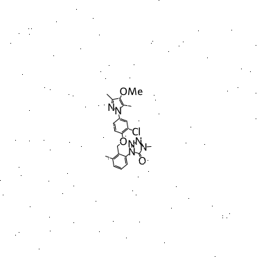 COc1c(C)nn(-c2ccc(OCc3c(C)cccc3-n3nnn(C)c3=O)c(Cl)c2)c1C